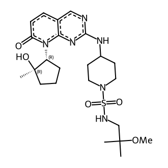 COC(C)(C)CNS(=O)(=O)N1CCC(Nc2ncc3ccc(=O)n([C@@H]4CCC[C@@]4(C)O)c3n2)CC1